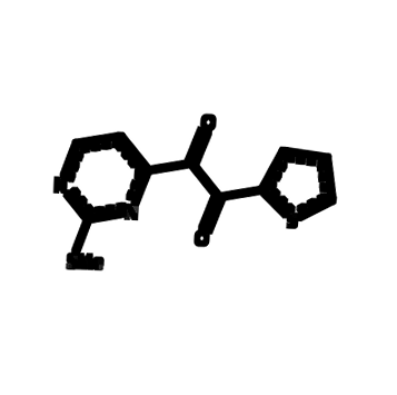 CSc1nccc(C(=O)C(=O)c2cccs2)n1